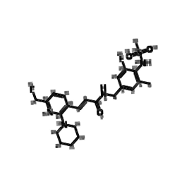 Cc1cc(CNC(=O)/C=C/c2ccc(CF)nc2N2CCCCC2)cc(F)c1NS(C)(=O)=O